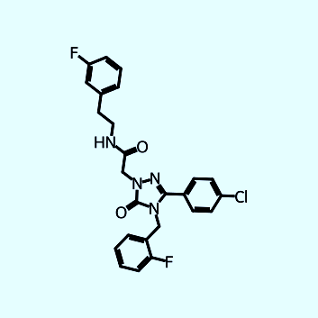 O=C(Cn1nc(-c2ccc(Cl)cc2)n(Cc2ccccc2F)c1=O)NCCc1cccc(F)c1